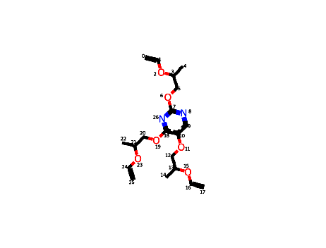 C=COC(C)COc1ncc(OCC(C)OC=C)c(OCC(C)OC=C)n1